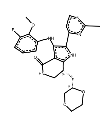 COc1c(F)cccc1Nc1c(-c2ccnc(C)n2)[nH]c2c1C(=O)NC[C@H]2C[C@H]1COCCO1